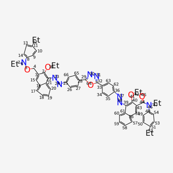 CCOc1c(CON(CC)c2ccc(CC)cc2)cc2ccccc2c1N=Nc1ccc(-c2nnc(-c3ccc(N=Nc4c(OCC)c(C(=O)N(CC)c5ccc(CC)cc5)cc5ccccc45)cc3)o2)cc1